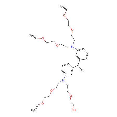 C=COCCOCCN(CCOCCO)c1cccc(C(CC)c2cccc(N(CCOCCOC=C)CCOCCOC=C)c2)c1